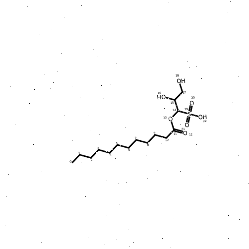 CCCCCCCCCCCC(=O)OC(C(O)CO)S(=O)(=O)O